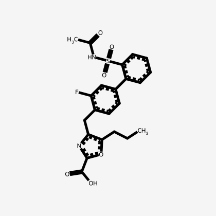 CCCc1oc(C(=O)O)nc1Cc1ccc(-c2ccccc2S(=O)(=O)NC(C)=O)cc1F